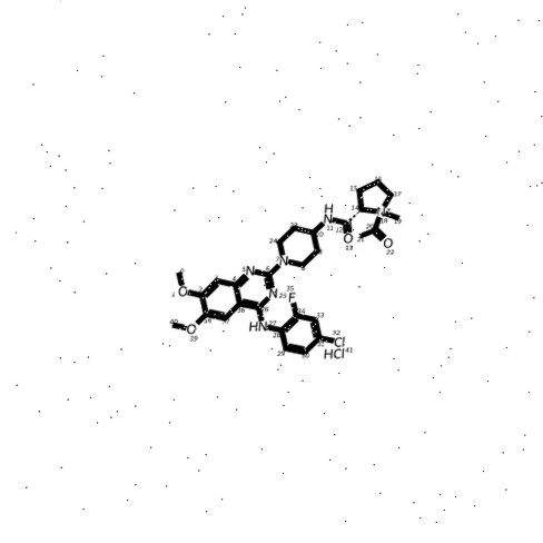 COc1cc2nc(N3CCC(NC(=O)[C@@H]4CCC[N+]4(C)C(C)=O)CC3)nc(Nc3ccc(Cl)cc3F)c2cc1OC.Cl